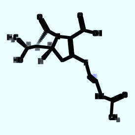 CC(=O)N/C=C/SC1=C(C(=O)O)N2C(=O)[C@@H]([C@H](C)O)[C@H]2C1